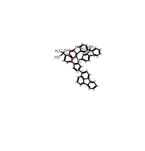 CC(C)(C)c1ccc(-c2ccc(-c3ccc4c5c(cccc35)-c3ccccc3-4)cc2N(c2ccc3c(c2)C(C)(C)c2ccccc2-3)c2cccc3oc4ccccc4c23)cc1